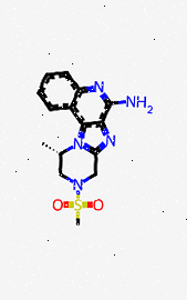 C[C@H]1CN(S(C)(=O)=O)Cc2nc3c(N)nc4ccccc4c3n21